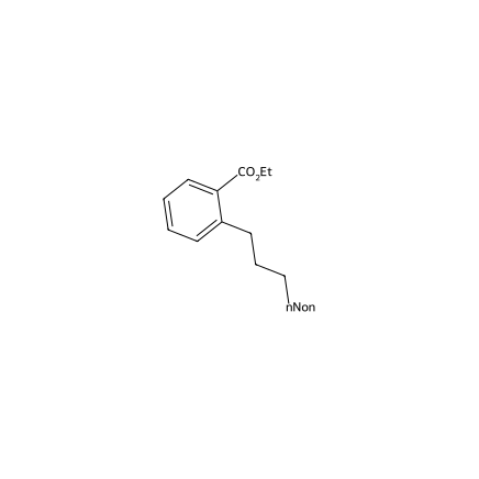 CCCCCCCCCCCCc1ccccc1C(=O)OCC